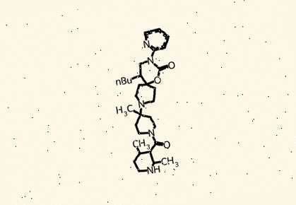 CCCCC1CN(c2ccccn2)C(=O)OC12CCN(C1(C)CCN(C(=O)C3C(C)CCNC3C)CC1)CC2